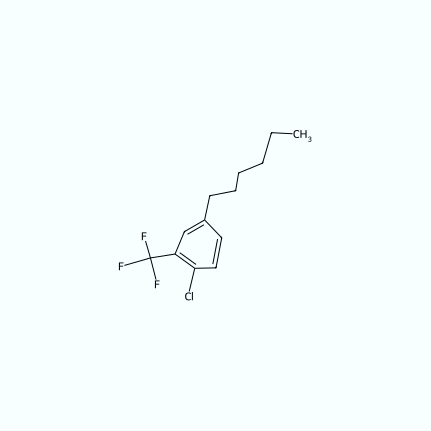 CCCCCCc1ccc(Cl)c(C(F)(F)F)c1